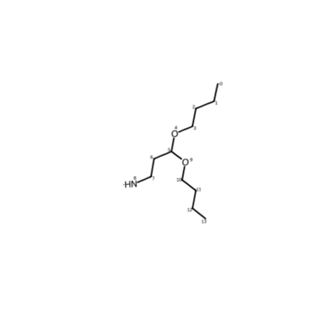 CCCCOC(CC[NH])OCCCC